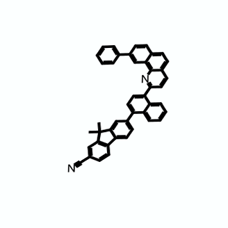 CC1(C)c2cc(C#N)ccc2-c2ccc(-c3ccc(-c4ccc5ccc6ccc(-c7ccccc7)cc6c5n4)c4ccccc34)cc21